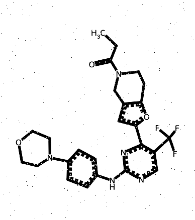 CCC(=O)N1CCc2oc(-c3nc(Nc4ccc(N5CCOCC5)cc4)ncc3C(F)(F)F)cc2C1